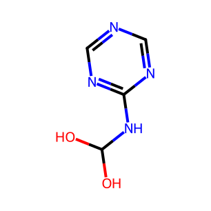 OC(O)Nc1ncncn1